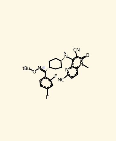 Cn1c(=O)c(C#N)c(N(C)[C@H]2CC[C@@H](/C(=N/OC(C)(C)C)c3ccc(F)cc3F)CC2)c2nc(C#N)ccc21